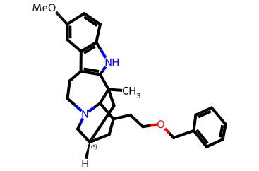 COc1ccc2[nH]c3c(c2c1)CCN1C[C@H]2CC(CCOCc4ccccc4)C1C3(C)C2